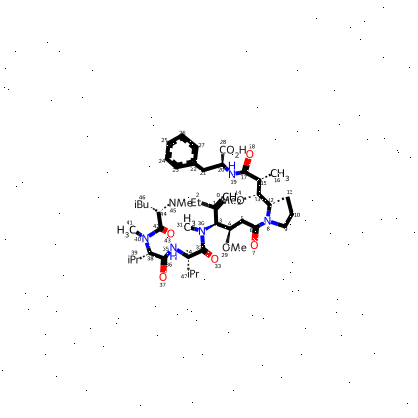 C=C(CC)[C@@H]([C@@H](CC(=O)N1CCC[C@H]1[C@H](OC)[C@@H](C)C(=O)N[C@@H](Cc1ccccc1)C(=O)O)OC)N(C)C(=O)[C@@H](NC(=O)[C@H](C(C)C)N(C)C(=O)[C@@H](NC)[C@@H](C)CC)C(C)C